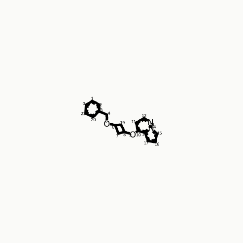 c1ccc(COC2CC(Oc3ccnn4cccc34)C2)cc1